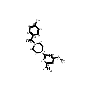 CCNc1cc(C)nc(N2CCN(C(=O)c3ccc(I)cc3)CC2)n1